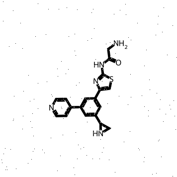 NCC(=O)Nc1nc(-c2cc(-c3ccncc3)cc(C3CN3)c2)cs1